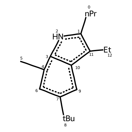 CCCc1[nH]c2c(C)cc(C(C)(C)C)cc2c1CC